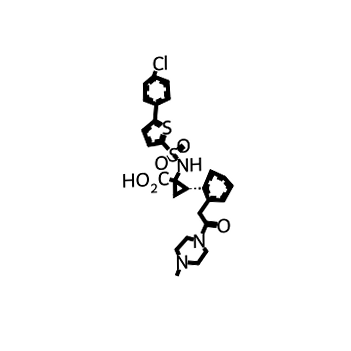 CN1CCN(C(=O)Cc2ccccc2[C@@H]2CC2(NS(=O)(=O)c2ccc(-c3ccc(Cl)cc3)s2)C(=O)O)CC1